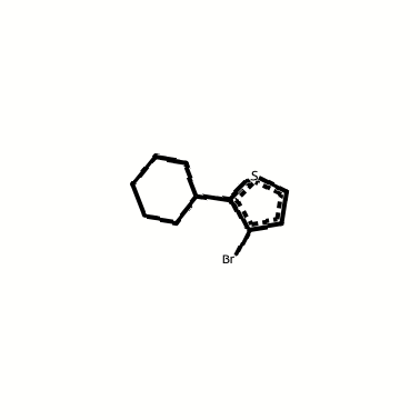 Brc1ccsc1C1CCCCC1